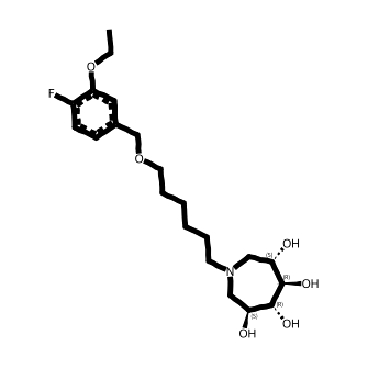 CCOc1cc(COCCCCCCN2C[C@H](O)[C@@H](O)[C@H](O)[C@@H](O)C2)ccc1F